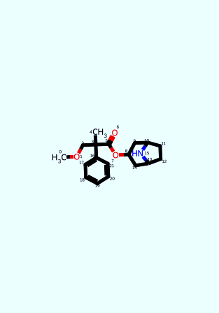 COCC(C)(C(=O)OC1CC2CCC(C1)N2)c1ccccc1